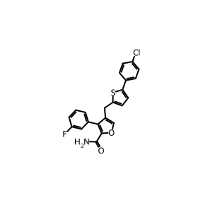 NC(=O)c1occ(Cc2ccc(-c3ccc(Cl)cc3)s2)c1-c1cccc(F)c1